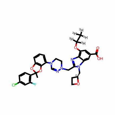 [2H]C([2H])([2H])C([2H])([2H])Oc1cc(C(=O)O)cc2c1nc(CN1CCN(c3cccc4c3OC(C)(c3ccc(Cl)cc3F)O4)C=N1)n2C[C@@H]1CCO1